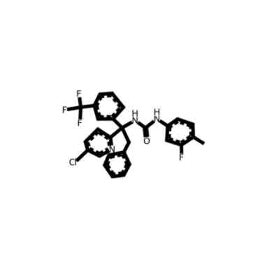 Cc1ccc(NC(=O)NC(Cc2ccccc2)(c2cccc(C(F)(F)F)c2)c2ccc(Cl)cn2)cc1F